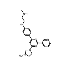 CN(C)CCNc1ccc(-c2cc(N3CC[C@H](O)C3)nc(-c3cccnc3)n2)cc1